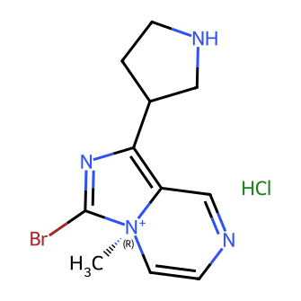 C[N@@+]12C=CN=CC1=C(C1CCNC1)N=C2Br.Cl